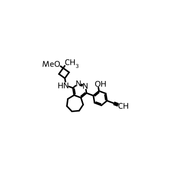 C#Cc1ccc(-c2nnc(NC3CC(C)(OC)C3)c3c2CCCCC3)c(O)c1